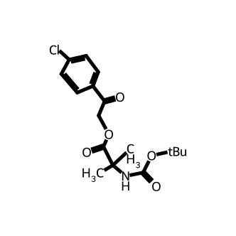 CC(C)(C)OC(=O)NC(C)(C)C(=O)OCC(=O)c1ccc(Cl)cc1